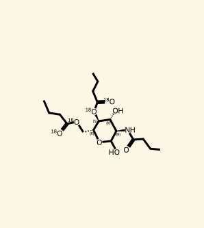 CCCC(=O)N[C@H]1C(O)O[C@H](C[18O]C(=[18O])CCC)[C@@H]([18O]C(=[18O])CCC)[C@@H]1O